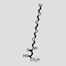 CC(=O)CCOCCOCCOCCOCCNC(=O)CC(O)C(=O)O